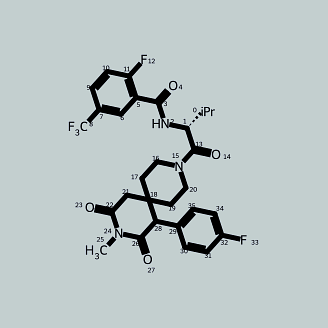 CC(C)[C@@H](NC(=O)c1cc(C(F)(F)F)ccc1F)C(=O)N1CCC2(CC1)CC(=O)N(C)C(=O)C2c1ccc(F)cc1